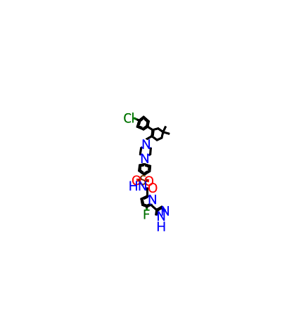 CC1(C)CCC(CN2CCN(c3ccc(S(=O)(=O)NC(=O)c4ccc(F)c(-c5cn[nH]c5)n4)cc3)CC2)=C(c2ccc(Cl)cc2)C1